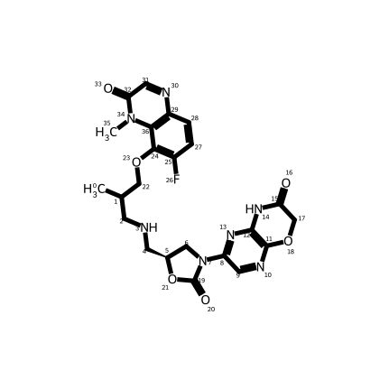 CC(CNC[C@H]1CN(c2cnc3c(n2)NC(=O)CO3)C(=O)O1)COc1c(F)ccc2ncc(=O)n(C)c12